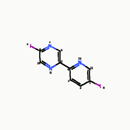 Ic1ccc(-c2cnc(I)cn2)nc1